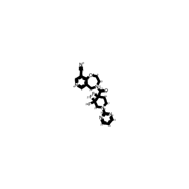 N#Cc1cncc2c1OCCN(C(=O)C1(F)CCN(c3ncccn3)CC1(F)F)C2